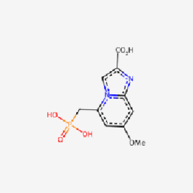 COc1cc(CP(=O)(O)O)n2cc(C(=O)O)nc2c1